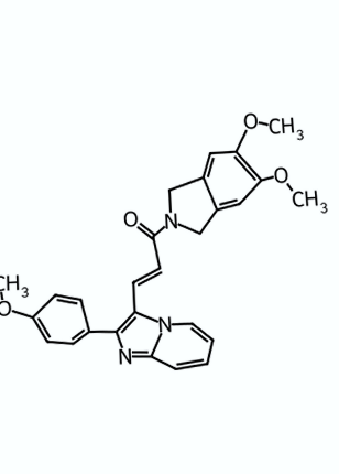 COc1ccc(-c2nc3ccccn3c2/C=C/C(=O)N2Cc3cc(OC)c(OC)cc3C2)cc1